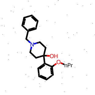 CCCOc1ccccc1C1(O)CCN(Cc2ccccc2)CC1